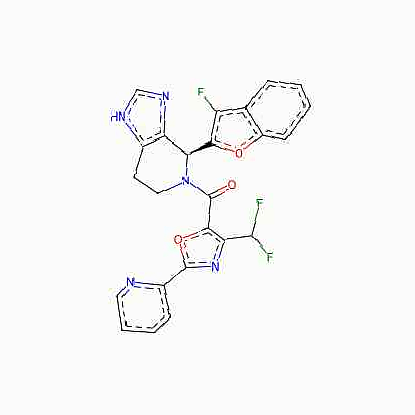 O=C(c1oc(-c2ccccn2)nc1C(F)F)N1CCc2[nH]cnc2[C@H]1c1oc2ccccc2c1F